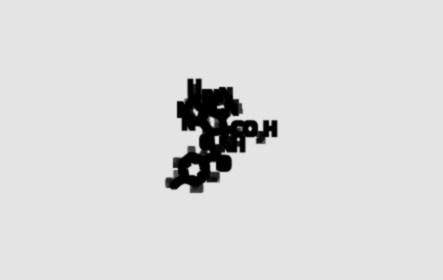 Cc1ccc(S(=O)(=O)NC(Cc2c[nH]nn2)(C(=O)O)c2c[nH]nn2)cc1